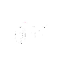 O=C(OC12CC3CC(CC(C3)C1)C2)C(F)(SOOO)C(F)(F)F